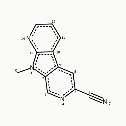 Cn1c2cnc(C#N)cc2c2cccnc21